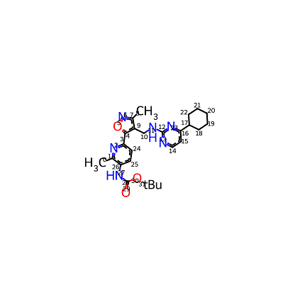 Cc1nc(-c2onc(C)c2CNc2nccc(C3CCCCC3)n2)ccc1NC(=O)OC(C)(C)C